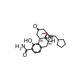 NC(=O)c1ccc2c(c1O)[C@]13CCN(CC4CCCC4)[C@H](C2)[C@]1(O)CCC(=O)C3